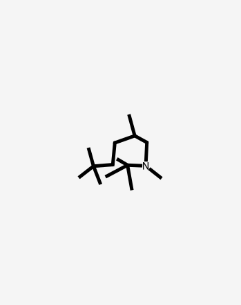 CC(CCC(C)(C)C)CN(C)C(C)(C)C